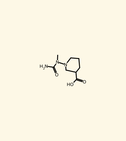 CN(C(N)=O)N1CCCC(C(=O)O)C1